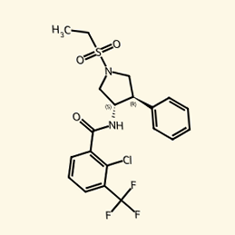 CCS(=O)(=O)N1C[C@@H](NC(=O)c2cccc(C(F)(F)F)c2Cl)[C@H](c2ccccc2)C1